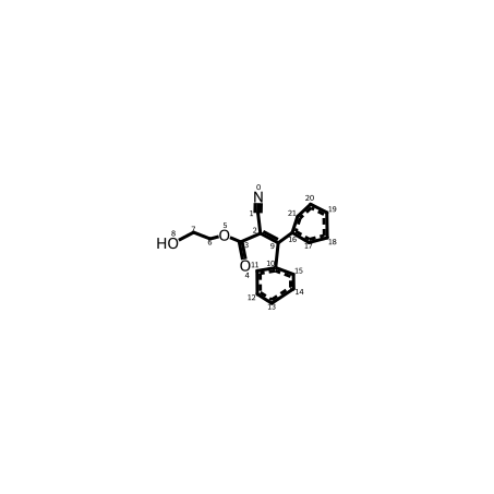 N#CC(C(=O)OCCO)=C(c1ccccc1)c1ccccc1